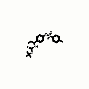 CCC(NC(=O)OC(C)(C)C)c1ccc(OS(=O)(=O)c2ccc(C)cc2)cc1